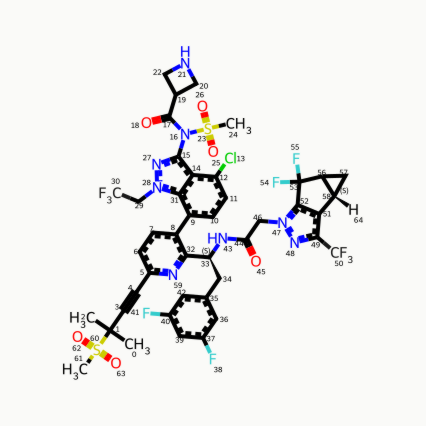 CC(C)(C#Cc1ccc(-c2ccc(Cl)c3c(N(C(=O)C4CNC4)S(C)(=O)=O)nn(CC(F)(F)F)c23)c([C@H](Cc2cc(F)cc(F)c2)NC(=O)Cn2nc(C(F)(F)F)c3c2C(F)(F)C2C[C@H]32)n1)S(C)(=O)=O